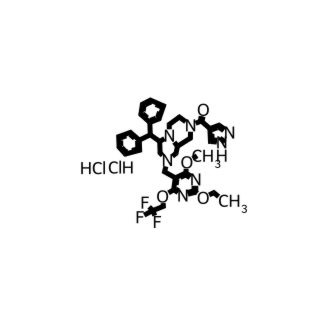 CCOc1nc(OC)c(CN2CC3CN(C(=O)c4cn[nH]c4)CCN3C(C(c3ccccc3)c3ccccc3)C2)c(OCC(F)(F)F)n1.Cl.Cl